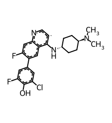 CN(C)[C@H]1CC[C@H](Nc2[c]cnc3cc(F)c(-c4cc(F)c(O)c(Cl)c4)cc23)CC1